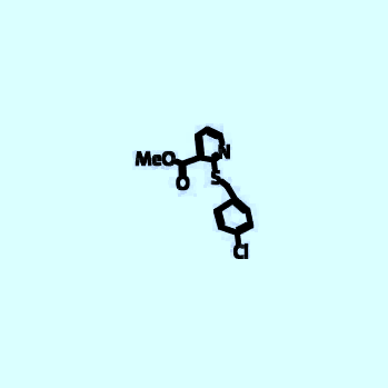 COC(=O)c1cccnc1SCc1ccc(Cl)cc1